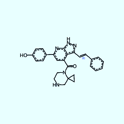 O=C(c1cc(-c2ccc(O)cc2)nc2[nH]nc(/C=C/c3ccccc3)c12)N1CCNCC12CC2